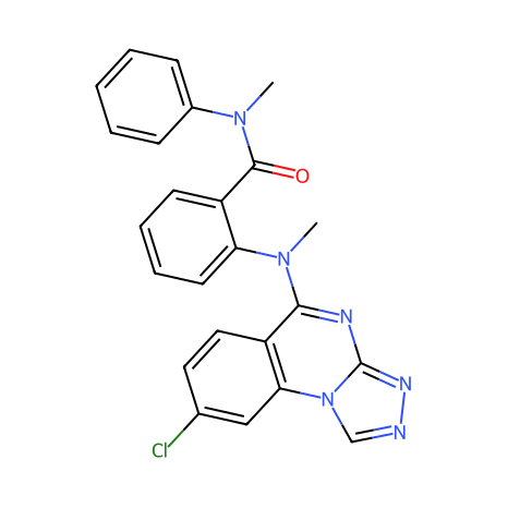 CN(C(=O)c1ccccc1N(C)c1nc2nncn2c2cc(Cl)ccc12)c1ccccc1